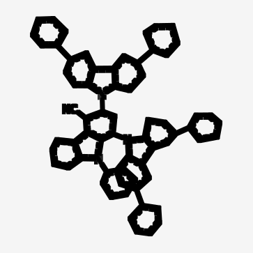 N#Cc1c(-n2c3ccc(-c4ccccc4)cc3c3cc(-c4ccccc4)ccc32)cc(-n2c3ccc(-c4ccccc4)cc3c3cc(-c4ccccc4)ccc32)c2c1c1ccccc1n2-c1ccccc1